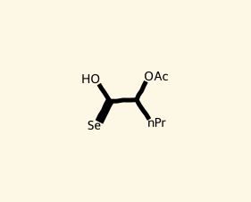 CCCC(OC(C)=O)C(O)=[Se]